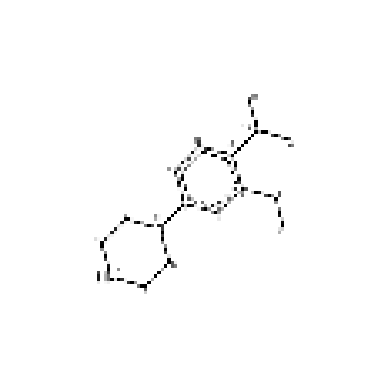 CCc1cc(N2CCNCC2)ccc1C(C)C